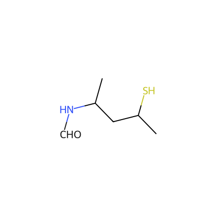 CC(S)CC(C)NC=O